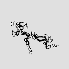 COCCCNc1ccc(S(=O)(=O)NC(=O)c2ccc(N3CCN(CC4=C(c5ccc(Cl)cc5)CC(C)(C)CC4)CC3)cc2Oc2cccc3[nH]ccc23)cc1C